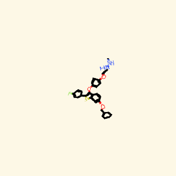 CNNCCOc1ccc(Oc2c(-c3ccc(F)cc3)sc3cc(OCc4ccccc4)ccc23)cc1